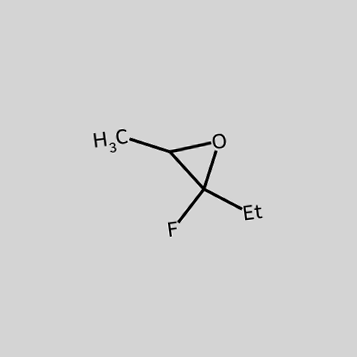 CCC1(F)OC1C